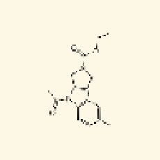 CCOC(=O)N1Cc2c(n(C(C)=O)c3ccc(C)cc23)C1